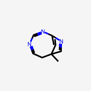 CC12C=NC(=C1)/N=C\N=C/C2